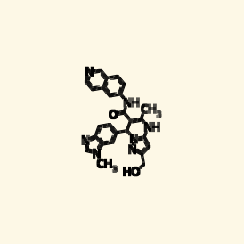 CC1=C(C(=O)Nc2ccc3cnccc3c2)C(c2ccc3ncn(C)c3c2)n2nc(CO)cc2N1